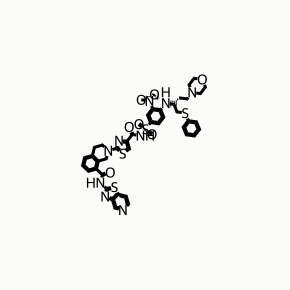 O=C(NS(=O)(=O)c1ccc(N[C@H](CCN2CCOCC2)CSc2ccccc2)c([N+](=O)[O-])c1)c1csc(N2CCc3cccc(C(=O)Nc4nc5cnccc5s4)c3C2)n1